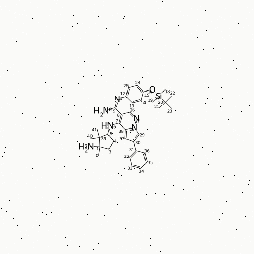 CC1(N)CCC(Nc2c(C(N)=Nc3ccc(O[Si](C)(C)C(C)(C)C)cc3)cnn3cc(-c4ccccc4)cc23)C1(C)C